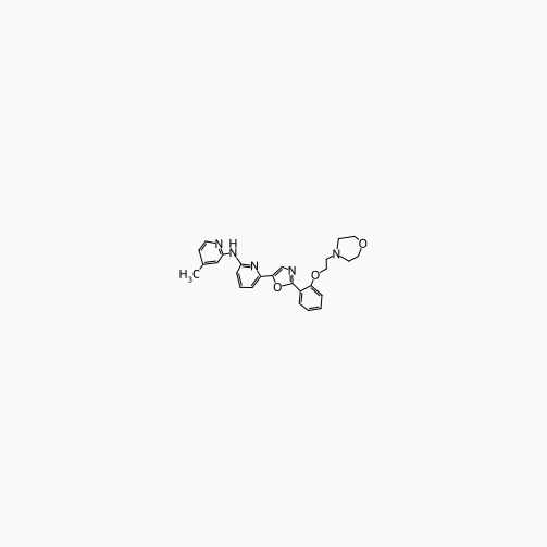 Cc1ccnc(Nc2cccc(-c3cnc(-c4ccccc4OCCN4CCOCC4)o3)n2)c1